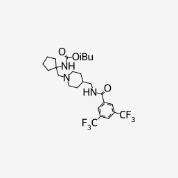 CC(C)COC(=O)NC1(CN2CCC(CNC(=O)c3cc(C(F)(F)F)cc(C(F)(F)F)c3)CC2)CCCC1